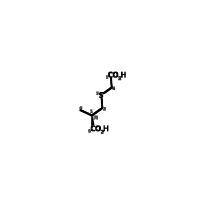 C[C@@H](CSCC(=O)O)C(=O)O